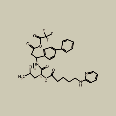 CC(C)C[C@H](NC(=O)CCCCNc1ccccn1)C(=O)NC(CC(=O)OC(=O)C(F)(F)F)c1ccc(-c2ccccc2)cc1